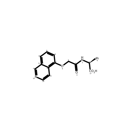 CC(C)[C@H](NC(=O)COc1cccc2cnccc12)C(=O)O